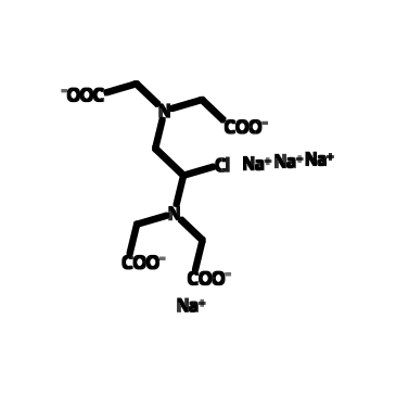 O=C([O-])CN(CC(=O)[O-])CC(Cl)N(CC(=O)[O-])CC(=O)[O-].[Na+].[Na+].[Na+].[Na+]